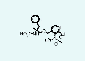 CCCN(c1c(COCC(C)(Cc2ccccc2)NC(=O)O)ccnc1Cl)S(C)(=O)=O